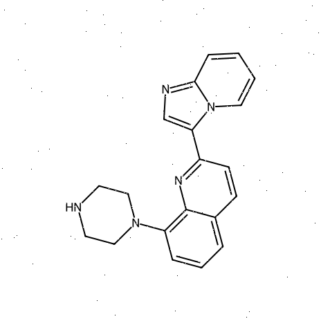 c1cc(N2CCNCC2)c2nc(-c3cnc4ccccn34)ccc2c1